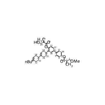 C=C(COC)C(=O)Oc1ccc(-c2ccc(OC(=O)C(=C)CO)c(C3CCC(C4CCC(CCCC)CC4)CC3)c2)cc1